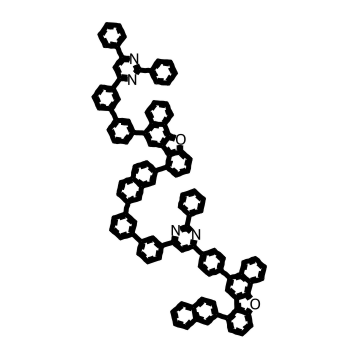 c1ccc(-c2cc(-c3cccc(-c4cccc(-c5cc6c(oc7cccc(-c8ccc9ccc(-c%10cccc(-c%11cccc(-c%12cc(-c%13ccc(-c%14cc%15c(oc%16cccc(-c%17ccc%18ccccc%18c%17)c%16%15)c%15ccccc%14%15)cc%13)nc(-c%13ccccc%13)n%12)c%11)c%10)cc9c8)c76)c6ccccc56)c4)c3)nc(-c3ccccc3)n2)cc1